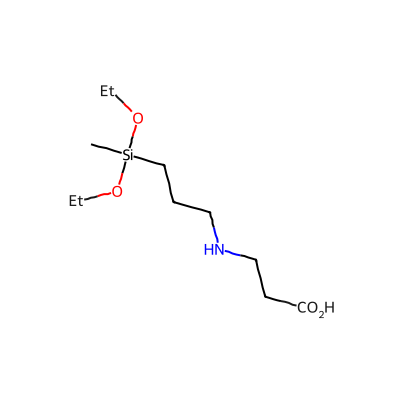 CCO[Si](C)(CCCNCCC(=O)O)OCC